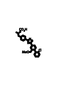 COCc1cc(-c2nc(-c3ccc(CN(C)CC(=O)O)cc3)no2)ccc1-c1ccccc1Cl